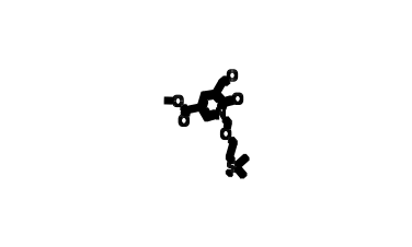 COC(=O)c1cc(C=O)c(=O)n(COCC[Si](C)(C)C)c1